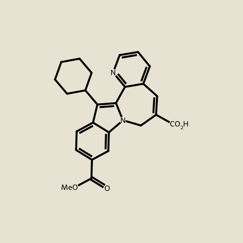 COC(=O)c1ccc2c(C3CCCCC3)c3n(c2c1)CC(C(=O)O)=Cc1cccnc1-3